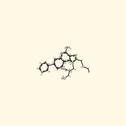 CCOCc1nc2c(N)nc3cc(-c4cccnc4)ccc3c2n1C[C@H](O)CO